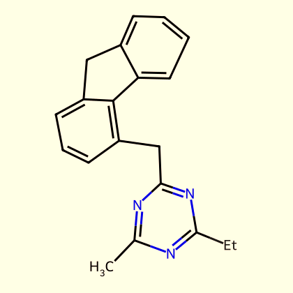 CCc1nc(C)nc(Cc2cccc3c2-c2ccccc2C3)n1